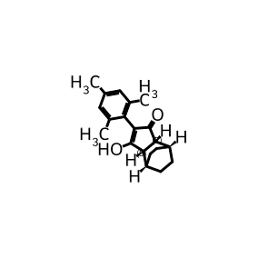 Cc1cc(C)c(C2=C(O)[C@H]3[C@H]4CC[C@H](CC4)[C@H]3C2=O)c(C)c1